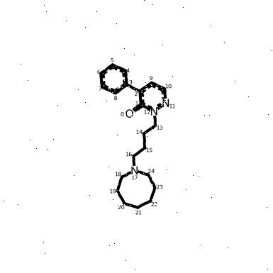 O=c1c(-c2ccccc2)ccnn1CCCCN1CCCCCCC1